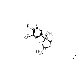 CN1CCC(C)(c2ccc(F)c(Cl)c2)C1